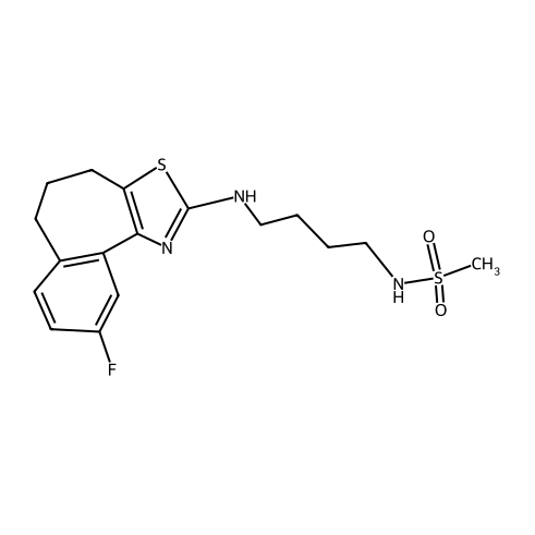 CS(=O)(=O)NCCCCNc1nc2c(s1)CCCc1ccc(F)cc1-2